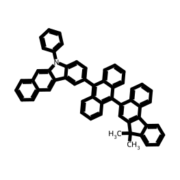 CC1(C)c2ccccc2-c2c1cc(-c1c3ccccc3c(-c3ccc4c(c3)c3cc5ccccc5cc3n4-c3ccccc3)c3ccccc13)c1ccccc21